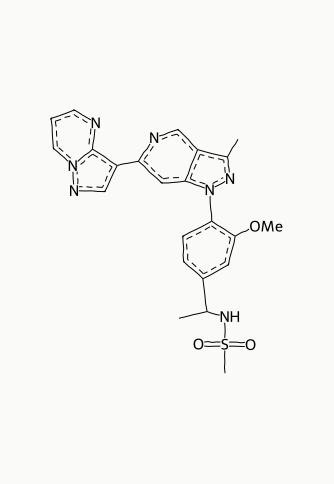 COc1cc(C(C)NS(C)(=O)=O)ccc1-n1nc(C)c2cnc(-c3cnn4cccnc34)cc21